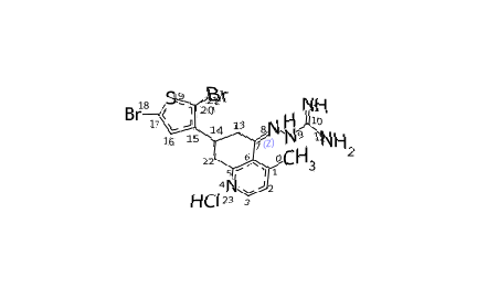 Cc1ccnc2c1/C(=N\NC(=N)N)CC(c1cc(Br)sc1Br)C2.Cl